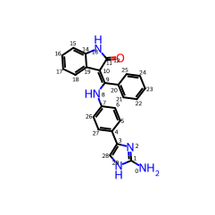 Nc1nc(-c2ccc(NC(=C3C(=O)Nc4ccccc43)c3ccccc3)cc2)c[nH]1